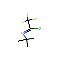 CC(C)(C)N=C(Cl)C(F)(F)F